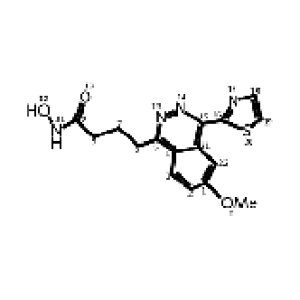 COc1ccc2c(CCCC(=O)NO)nnc(-c3nccs3)c2c1